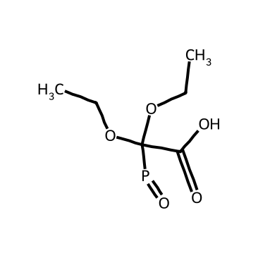 CCOC(OCC)(P=O)C(=O)O